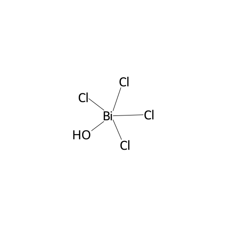 [OH][Bi]([Cl])([Cl])([Cl])[Cl]